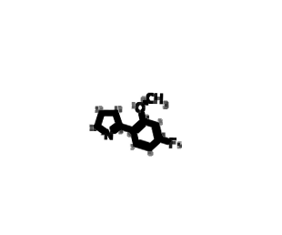 COc1cc(F)ccc1C1=NCCC1